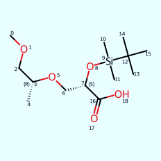 COC[C@@H](C)OC[C@H](O[Si](C)(C)C(C)(C)C)C(=O)O